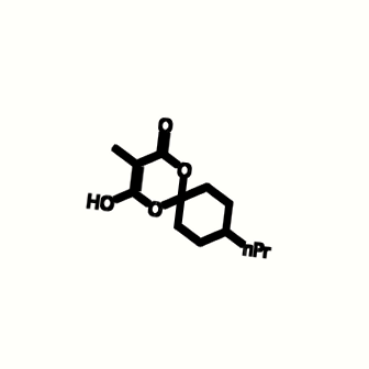 CCCC1CCC2(CC1)OC(=O)C(C)=C(O)O2